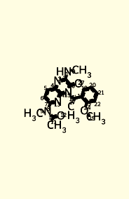 CNc1nc2ccc(N(C)C(C)=O)nc2n([C@@H](C)c2ccccc2OC)c1=O